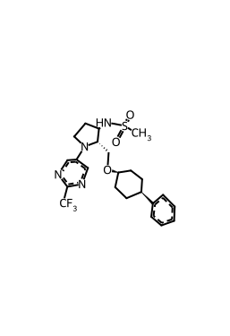 CS(=O)(=O)N[C@H]1CCN(c2cnc(C(F)(F)F)nc2)[C@H]1CO[C@H]1CC[C@@H](c2ccccc2)CC1